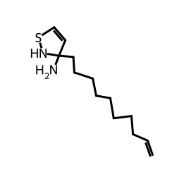 C=CCCCCCCCCC1(N)C=CSN1